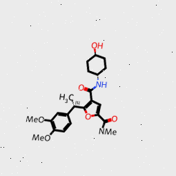 CNC(=O)c1cc(C(=O)N[C@H]2CC[C@H](O)CC2)c([C@@H](C)c2ccc(OC)c(OC)c2)o1